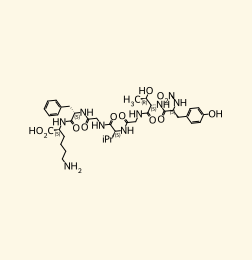 CC(C)[C@H](NC(=O)CNC(=O)[C@@H](NC(=O)[C@H](Cc1ccc(O)cc1)N[N+](=O)[O-])[C@@H](C)O)C(=O)NCC(=O)N[C@@H](Cc1ccccc1)C(=O)N[C@@H](CCCCN)C(=O)O